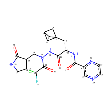 O=C(N[C@@H](CC12CC(C1)C2)C(=O)NN(CC1CCNC1=O)C(=O)C(F)Cl)c1cnccn1